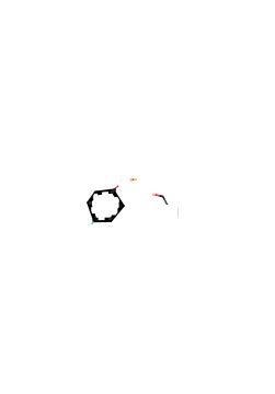 O=S(OCC(F)(F)F)Oc1ccc(F)cc1